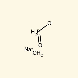 O.O=[PH2][O-].[Na+]